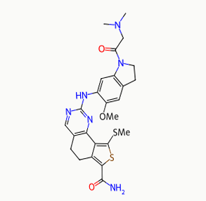 COc1cc2c(cc1Nc1ncc3c(n1)-c1c(SC)sc(C(N)=O)c1CC3)N(C(=O)CN(C)C)CC2